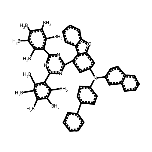 Bc1c(B)c(B)c(-c2nc(-c3c(B)c(B)c(B)c(B)c3B)nc(-c3cc(N(c4ccc(-c5ccccc5)cc4)c4ccc5ccccc5c4)cc4oc5ccccc5c34)n2)c(B)c1B